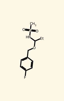 CC[C](NS(C)(=O)=O)OCc1ccc(F)cc1